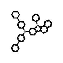 C1=CCC(c2ccc(N(c3ccc(-c4ccccc4)cc3)c3ccc4c5ccc6ccccc6c5n(-c5ccccc5)c4c3)cc2)C=C1